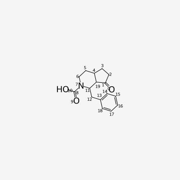 O=C1CCC2CCN(C(=O)O)C(Cc3ccccc3)C12